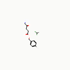 NCC(=O)CCC(=O)OCc1ccc([N+](=O)[O-])cc1.O=C(O)C(Cl)Cl